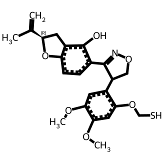 C=C(C)[C@H]1Cc2c(ccc(C3=NOCC3c3cc(OC)c(OC)cc3OCS)c2O)O1